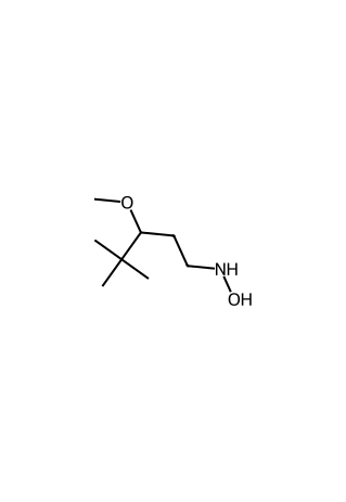 COC(CCNO)C(C)(C)C